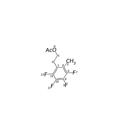 CC(=O)OCCc1c(C)c(F)c(F)c(F)c1F